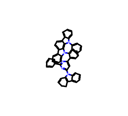 C1=Cc2c(c3ccccc3n2-c2cc(-c3ccccc3-n3c4ccccc4c4ccc5c6ccccc6n(-c6ccccc6)c5c43)nc(-c3ccccc3)n2)CC1